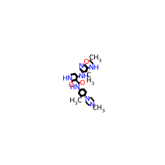 Cc1cc(NC(=O)c2c(Nc3cnc4c(c3C)NCC(C)O4)cc[nH]c2=O)ccc1N1CCN(C)CC1